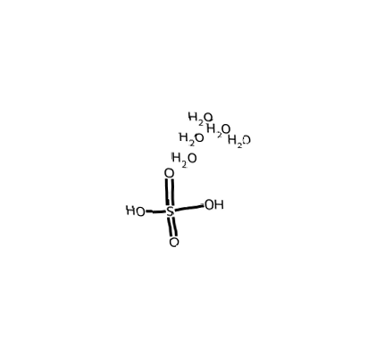 O.O.O.O.O.O=S(=O)(O)O